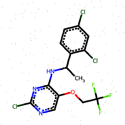 CC(Nc1nc(Cl)ncc1OCC(F)(F)F)c1ccc(Cl)cc1Cl